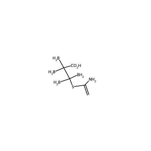 BC(B)(SC(=C)N)C(B)(B)C(=O)O